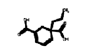 CCCC1(C(=O)O)C=CC=C(C(=O)O)C1